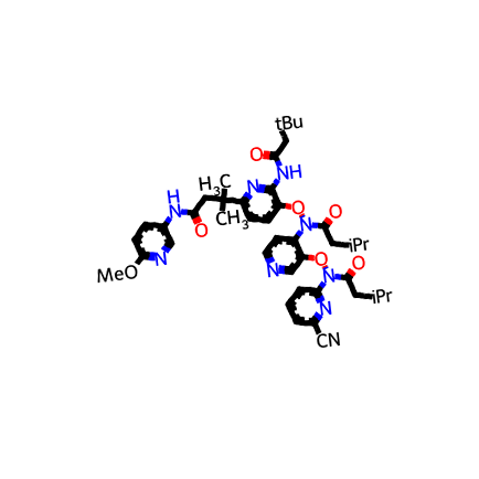 COc1ccc(NC(=O)CC(C)(C)c2ccc(ON(C(=O)CC(C)C)c3ccncc3ON(C(=O)CC(C)C)c3cccc(C#N)n3)c(NC(=O)CC(C)(C)C)n2)cn1